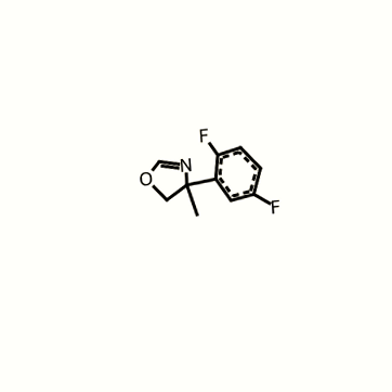 CC1(c2cc(F)ccc2F)COC=N1